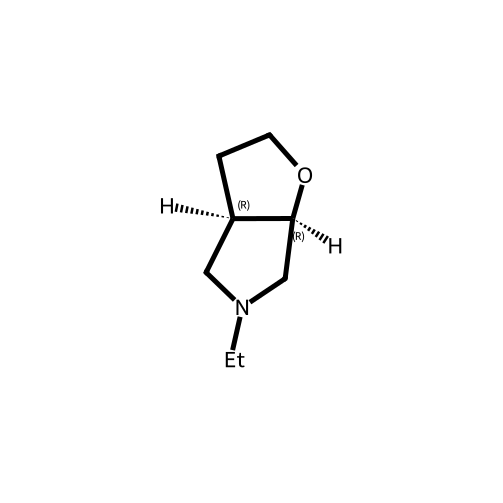 CCN1C[C@H]2CCO[C@H]2C1